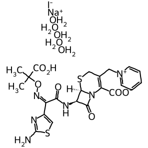 CC(C)(O/N=C(\C(=O)N[C@@H]1C(=O)N2C(C(=O)[O-])=C(C[n+]3ccccc3)CS[C@H]12)c1csc(N)n1)C(=O)O.O.O.O.O.O.[I-].[Na+]